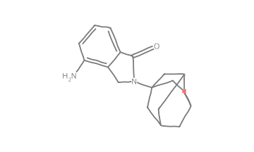 Nc1cccc2c1CN(C13CCC4CC(CC(C4)C1)C3)C2=O